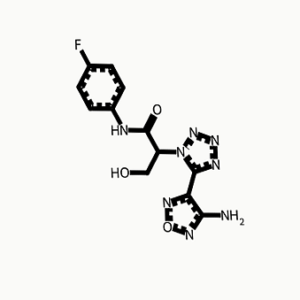 Nc1nonc1-c1nnnn1C(CO)C(=O)Nc1ccc(F)cc1